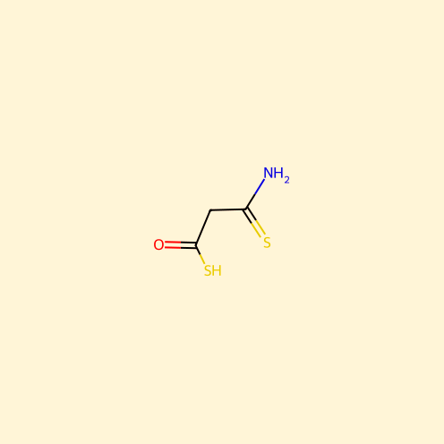 NC(=S)CC(=O)S